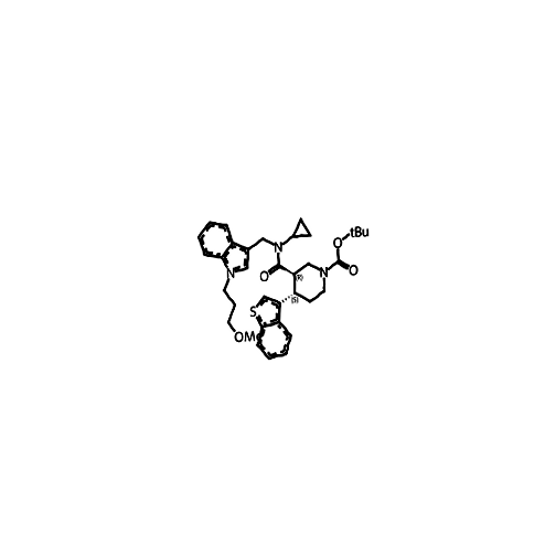 COCCCn1cc(CN(C(=O)[C@H]2CN(C(=O)OC(C)(C)C)CC[C@@H]2c2csc3ccccc23)C2CC2)c2ccccc21